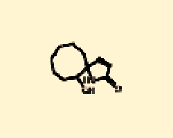 O=C1C=CC2(CCCCCCC2O)N1